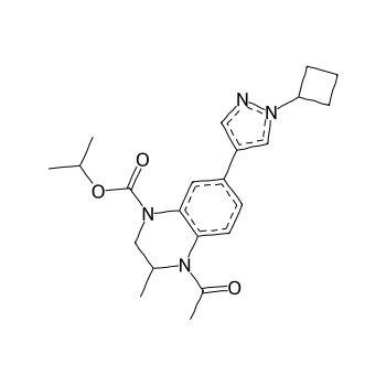 CC(=O)N1c2ccc(-c3cnn(C4CCC4)c3)cc2N(C(=O)OC(C)C)CC1C